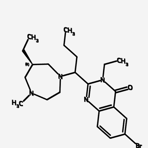 CCCC(c1nc2ccc(Br)cc2c(=O)n1CC)N1CCN(C)C[C@@H](CC)C1